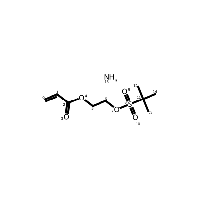 C=CC(=O)OCCOS(=O)(=O)C(C)(C)C.N